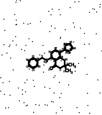 CC1(C)CC(=O)c2c(SCc3ccccc3)ccc(-c3nccs3)c2C1